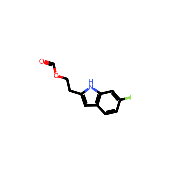 O=COCCc1cc2ccc(F)cc2[nH]1